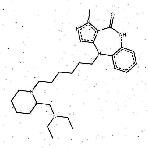 CCN(CC)CC1CCCCN1CCCCCCN1c2ccccc2NC(=O)c2c1cnn2C